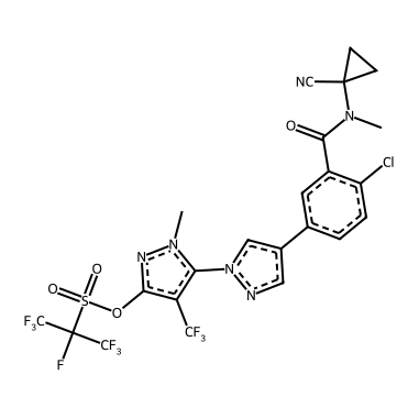 CN(C(=O)c1cc(-c2cnn(-c3c(C(F)(F)F)c(OS(=O)(=O)C(F)(C(F)(F)F)C(F)(F)F)nn3C)c2)ccc1Cl)C1(C#N)CC1